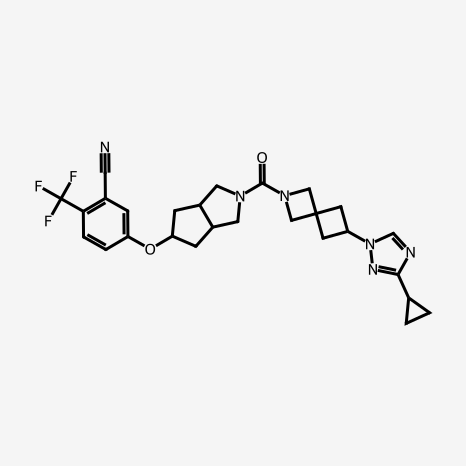 N#Cc1cc(OC2CC3CN(C(=O)N4CC5(CC(n6cnc(C7CC7)n6)C5)C4)CC3C2)ccc1C(F)(F)F